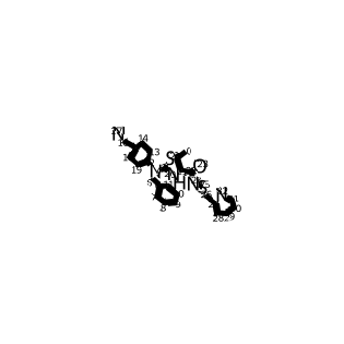 Cc1sc(N(Cc2ccccc2)c2ccc(C#N)cc2)nc1C(=O)NSCc1ccccn1